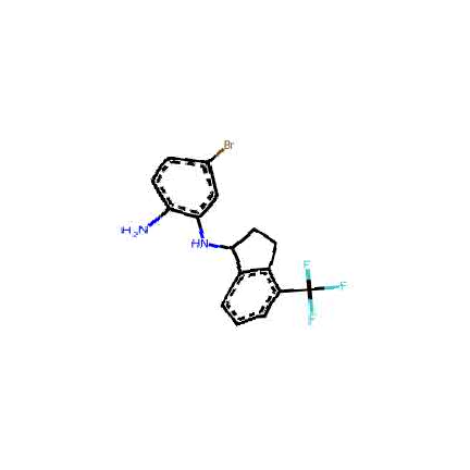 Nc1ccc(Br)cc1NC1CCc2c1cccc2C(F)(F)F